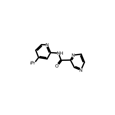 CC(C)c1ccnc(NC(=O)c2cnccn2)c1